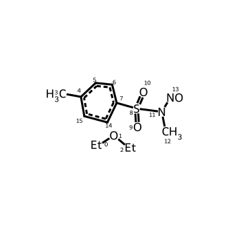 CCOCC.Cc1ccc(S(=O)(=O)N(C)N=O)cc1